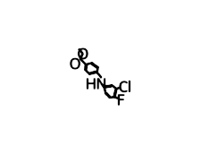 COC(=O)c1ccc(CNc2ccc(F)c(Cl)c2)cc1